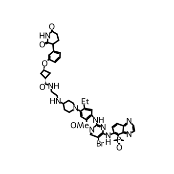 CCc1cc(Nc2ncc(Br)c(Nc3ccc4nccnc4c3P(C)(C)=O)n2)c(OC)cc1N1CCC(NCCNC(=O)[C@H]2C[C@H](Oc3cccc(C4CCC(=O)NC4=O)c3)C2)CC1